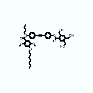 CCCCCCCOc1cc(OC)c(C(=O)N(CCCC)c2ccc(C#Cc3ccc(OC(=O)c4cc(CO)c(CO)cc4CO)cc3)cc2)cc1OC